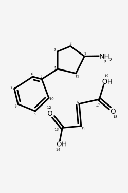 NC1CCC(c2ccccc2)C1.O=C(O)C=CC(=O)O